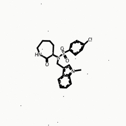 Cn1cc(CN(C2CCCCNC2=O)S(=O)(=O)c2ccc(Cl)cc2)c2ccccc21